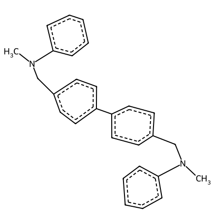 CN(Cc1ccc(-c2ccc(CN(C)c3ccccc3)cc2)cc1)c1ccccc1